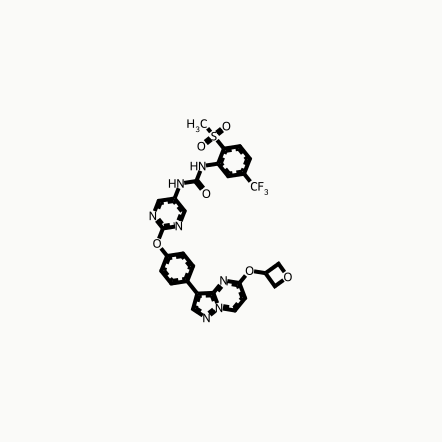 CS(=O)(=O)c1ccc(C(F)(F)F)cc1NC(=O)Nc1cnc(Oc2ccc(-c3cnn4ccc(OC5COC5)nc34)cc2)nc1